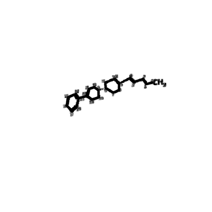 CCCCC[C@H]1CC[C@H](C2CC=C(c3ccccc3)CC2)CC1